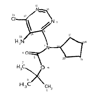 CC(C)(C)OC(=O)N(c1ncnc(Cl)c1N)C1C[CH]CC1